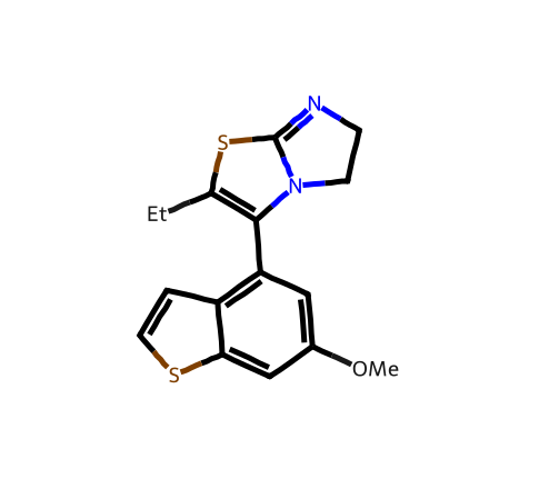 CCC1=C(c2cc(OC)cc3sccc23)N2CCN=C2S1